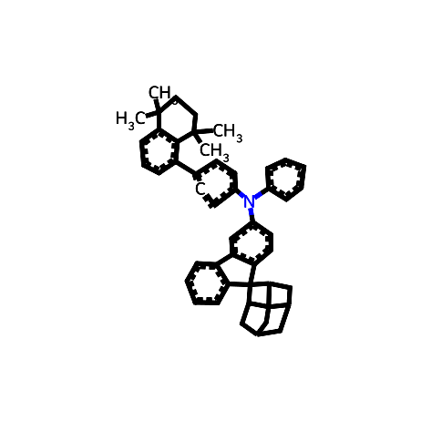 CC1(C)CCC(C)(C)c2c(-c3ccc(N(c4ccccc4)c4ccc5c(c4)-c4ccccc4C54C5CC6CC7CC4C75C6)cc3)cccc21